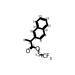 CC(C(=O)OSC(F)(F)F)c1ccc2ccccc2c1